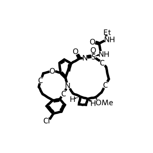 CCNC(=O)N[S@]1(=O)=NC(=O)c2ccc3c(c2)N(Cc2ccc(Cl)cc2CCCCO3)C[C@@H]2CC[C@H]2[C@@H](OC)CCCCC1